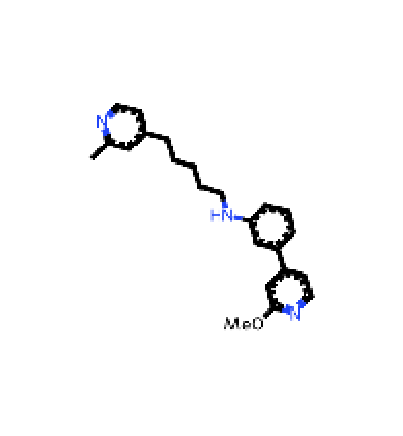 COc1cc(-c2cccc(NCCCCCc3ccnc(C)c3)c2)ccn1